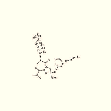 C=C(C)C(=O)OCC(CCCCCCCCC)(OOC(=O)C(=C)C)Oc1ccccc1.[CH2]C[O].[CH2]C[O].[CH2]C[O].[CH2]C[O].[CH2]C[O].[CH2]C[O].[CH2]C[O].[CH2]C[O].[CH2]C[O]